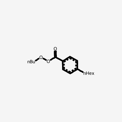 [CH2]CCCOOC(=O)c1ccc(CCCCCC)cc1